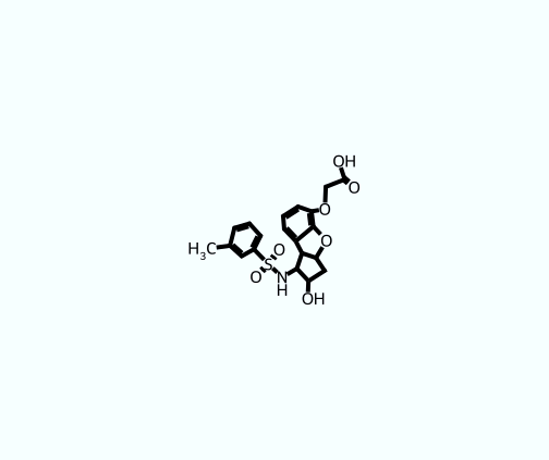 Cc1cccc(S(=O)(=O)NC2C(O)CC3Oc4c(OCC(=O)O)cccc4C32)c1